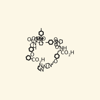 COC(=O)[C@H](Cc1ccc(Oc2ccccc2C(=O)O)cc1)NC(=O)[C@@H]1CCCN1S(=O)(=O)c1ccc(C)cc1.Cc1ccc(S(=O)(=O)N2CCC[C@H]2C(=O)N[C@@H](Cc2ccc(OCCN3CCN(c4ncccn4)CC3)cc2)C(=O)O)cc1